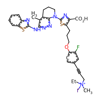 CC[N+](C)(I)CC#Cc1ccc(OCCCc2sc(N3CCCc4c3nnc(Nc3nc5ccccc5s3)c4C)nc2C(=O)O)c(F)c1